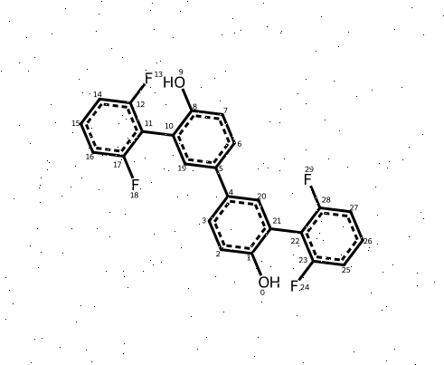 Oc1ccc(-c2ccc(O)c(-c3c(F)cccc3F)c2)cc1-c1c(F)cccc1F